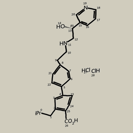 CC(C)Cc1cc(-c2ccc(CCNC[C@H](O)c3cccnc3)cc2)ccc1C(=O)O.Cl.Cl